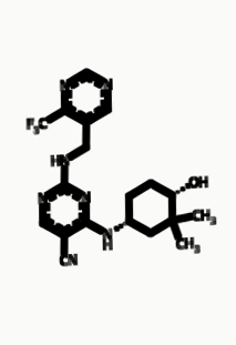 CC1(C)C[C@H](Nc2nc(NCc3cncnc3C(F)(F)F)ncc2C#N)CC[C@@H]1O